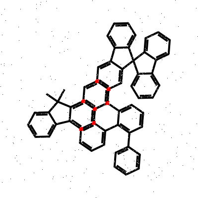 CC1(C)c2ccccc2-c2ccc(N(c3ccc4c(c3)C3(c5ccccc5-c5ccccc53)c3ccccc3-4)c3cccc(-c4ccccc4)c3-c3ccccc3-c3ccccc3)cc21